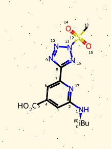 CC[C@H](C)Nc1cc(C(=O)O)cc(-c2nnn(S(C)(=O)=O)n2)n1